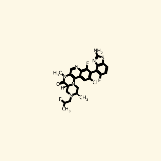 CC(F)CN1C[C@@H]2C(=O)N(C)c3cnc4c(F)c(-c5c(F)ccc6sc(N)nc56)c(Cl)cc4c3N2C[C@H]1C